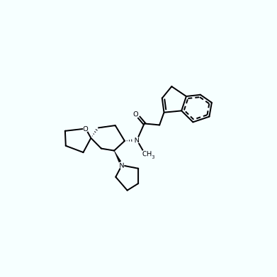 CN(C(=O)CC1=CCc2ccccc21)[C@H]1CC[C@@]2(CCCO2)C[C@@H]1N1CCCC1